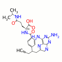 C#CCC(Cc1cnc2nc(N)nc(N)c2n1)c1ccc(C(=O)N[C@@H](CCC(=O)NC(C)C)C(=O)O)cc1